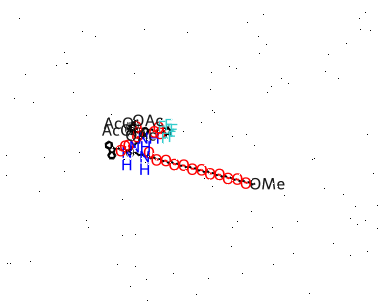 COCCOCCOCCOCCOCCOCCOCCOCCOCCOCCOCCOCCC(=O)NCCCC[C@H](NC(=O)OCC1c2ccccc2-c2ccccc21)C(=O)NCCC(=O)Nc1cc(COC(=O)Oc2c(F)c(F)c(F)c(F)c2F)ccc1O[C@H]1O[C@H](COC(C)=O)[C@@H](OC(C)=O)[C@H](OC(C)=O)[C@@H]1OC(C)=O